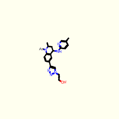 CC(=O)N1c2ccc(-c3cn(CCO)nn3)cc2C(Nc2ccc(C)cn2)CC1C